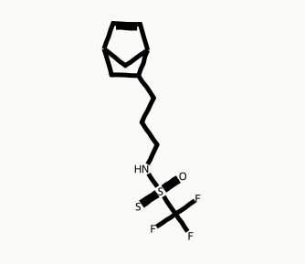 O=S(=S)(NCCCC1CC2C=CC1C2)C(F)(F)F